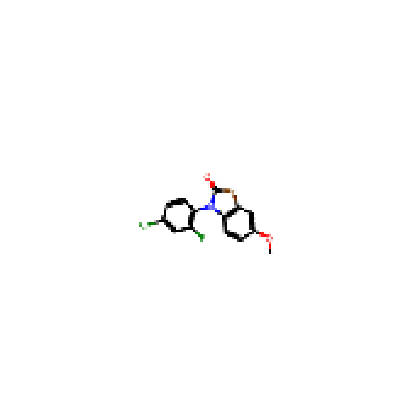 COc1ccc2c(c1)sc(=O)n2-c1ccc(Cl)cc1F